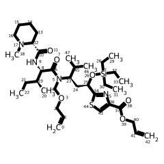 C=CCOCN(C(=O)[C@@H](NC(=O)[C@H]1CCCCN1C)[C@@H](C)CC)[C@H](C[C@@H](O[Si](CC)(CC)CC)c1nc(C(=O)OCC=C)cs1)C(C)C